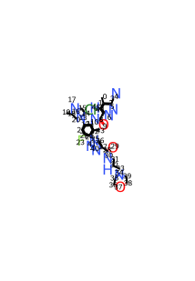 Cc1c(C#N)nnc(C(=O)Nc2c(N3CCN(C)C(C)C3)cc(F)c(-n3cc(C(=O)NCCCN4CCOCC4)nn3)c2C)c1Cl